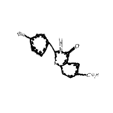 CC(C)(C)c1ccc(-c2nc3ccc(C(=O)O)cc3c(=O)[nH]2)cc1